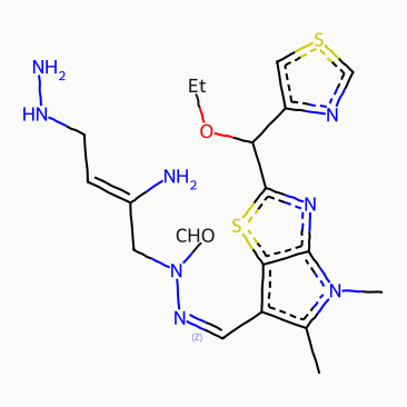 CCOC(c1cscn1)c1nc2c(s1)c(/C=N\N(C=O)CC(N)=CCNN)c(C)n2C